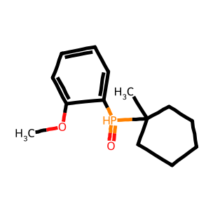 COc1ccccc1[PH](=O)C1(C)CCCCC1